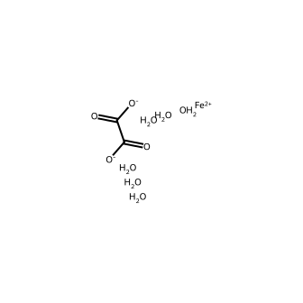 O.O.O.O.O.O.O=C([O-])C(=O)[O-].[Fe+2]